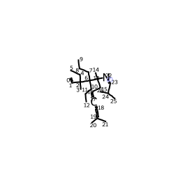 C=CC(C)(CC)C(CCC)(CCC)C(C)(CC=C=C=C(C)C)/N=C\C(C)C